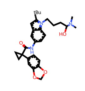 CN(C)C(O)CCCn1c(C(C)(C)C)cc2cc(NC(=O)C3(c4ccc5c(c4)OCO5)CC3)ccc21